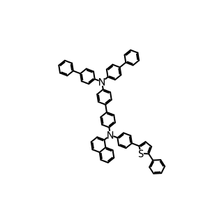 c1ccc(-c2ccc(N(c3ccc(-c4ccccc4)cc3)c3ccc(-c4ccc(N(c5ccc(-c6ccc(-c7ccccc7)s6)cc5)c5cccc6ccccc56)cc4)cc3)cc2)cc1